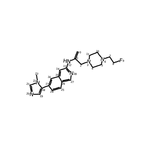 C=C(CN1CCN(CCF)CC1)Nc1cc2cc(-c3cncn3C)ccc2cn1